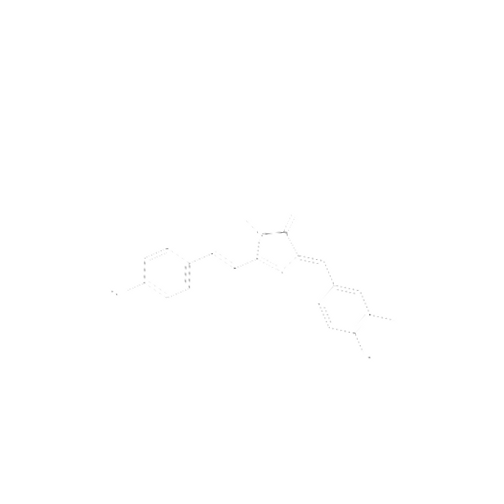 CN1C(=O)/C(=C/c2ccc(O)c(F)c2)N=C1/C=C/c1ccc(C#N)cc1